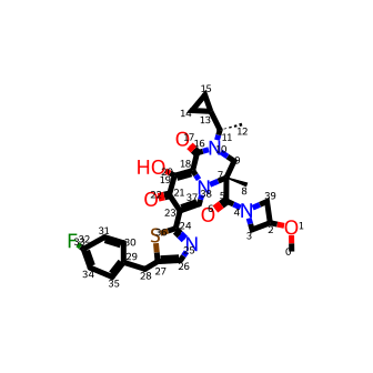 COC1CN(C(=O)[C@@]2(C)CN([C@@H](C)C3CC3)C(=O)c3c(O)c(=O)c(-c4ncc(Cc5ccc(F)cc5)s4)cn32)C1